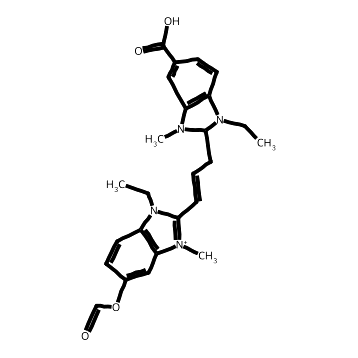 CCN1c2ccc(C(=O)O)cc2N(C)C1CC=Cc1n(CC)c2ccc(OC=O)cc2[n+]1C